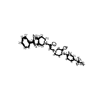 O=C(CN1CCN(c2ccc(C(F)(F)F)cn2)C(=O)C1)N1CCc2nc(-c3ccccc3)sc2C1